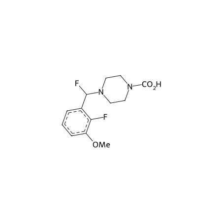 COc1cccc(C(F)N2CCN(C(=O)O)CC2)c1F